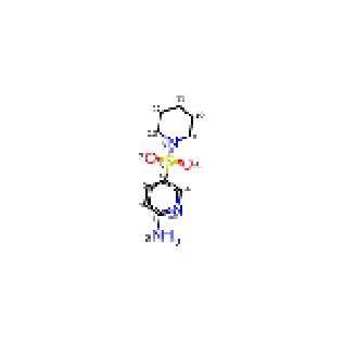 Nc1ccc(S(=O)(=O)N2CCCCC2)cn1